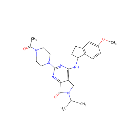 COc1ccc2c(c1)CCC2Nc1nc(N2CCN(C(C)=O)CC2)nc2c1CN(C(C)C)C2=O